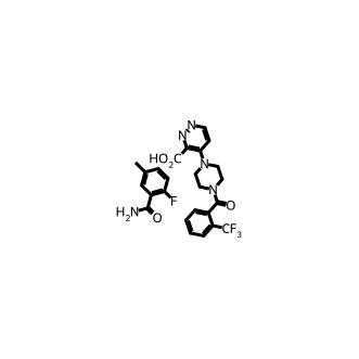 Cc1ccc(F)c(C(N)=O)c1.O=C(O)c1nnccc1N1CCN(C(=O)c2ccccc2C(F)(F)F)CC1